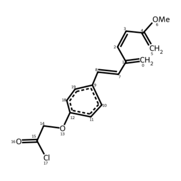 C=C(/C=C\C(=C)OC)/C=C/c1ccc(OCC(=O)Cl)cc1